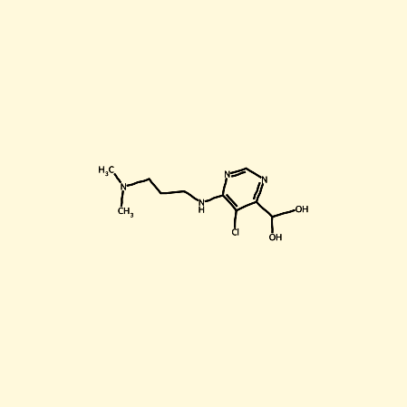 CN(C)CCCNc1ncnc(C(O)O)c1Cl